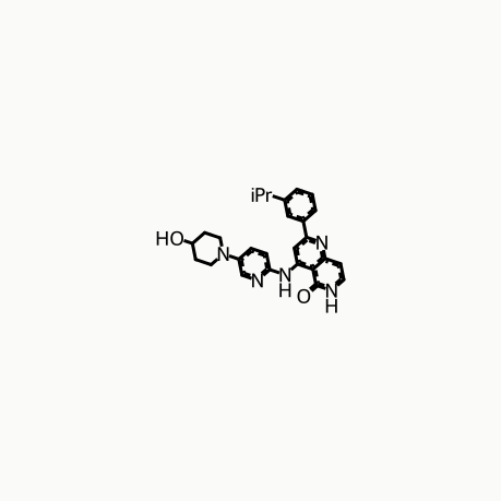 CC(C)c1cccc(-c2cc(Nc3ccc(N4CCC(O)CC4)cn3)c3c(=O)[nH]ccc3n2)c1